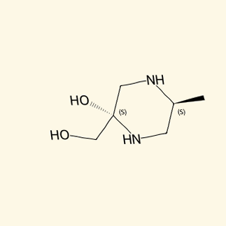 C[C@H]1CN[C@@](O)(CO)CN1